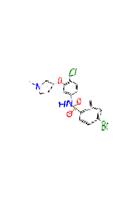 Cc1cc(Br)ccc1S(=O)(=O)Nc1ccc(Cl)c(O[C@@H]2CCN(C)C2)c1